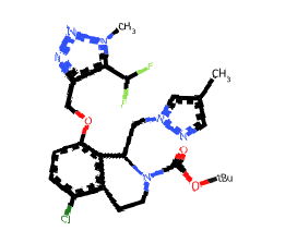 Cc1cnn(CC2c3c(OCc4nnn(C)c4C(F)F)ccc(Cl)c3CCN2C(=O)OC(C)(C)C)c1